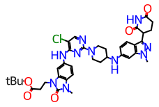 Cn1nc(C2CCC(=O)NC2=O)c2ccc(NC3CCN(c4ncc(Cl)c(Nc5ccc6c(c5)n(CCC(=O)OC(C)(C)C)c(=O)n6C)n4)CC3)cc21